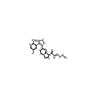 COc1ncc(F)cc1[C@H]1CCCN1c1ccn2ncc(C(=O)NOCCCl)c2n1